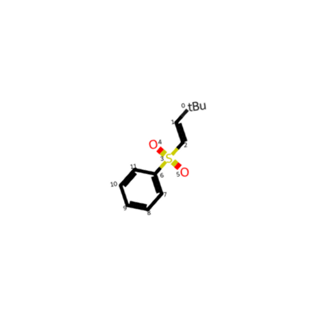 CC(C)(C)C=CS(=O)(=O)c1ccccc1